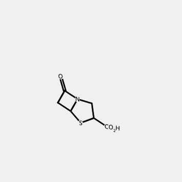 O=C(O)C1CN2C(=O)CC2S1